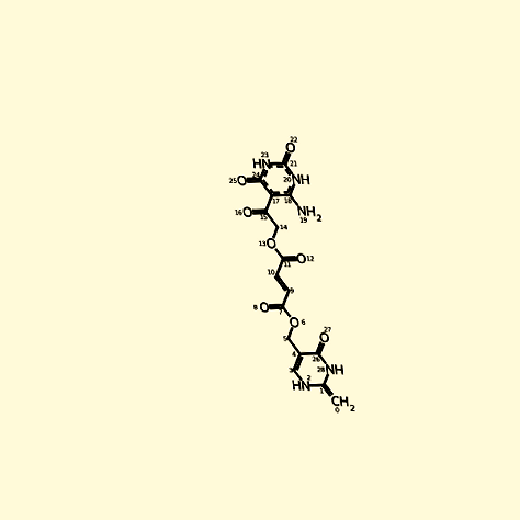 C=C1NC=C(COC(=O)/C=C/C(=O)OCC(=O)c2c(N)[nH]c(=O)[nH]c2=O)C(=O)N1